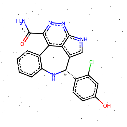 NC(=O)c1nnc2[nH]cc3c2c1-c1ccccc1N[C@H]3c1ccc(O)cc1Cl